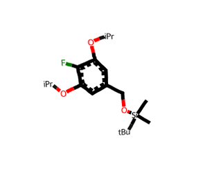 CC(C)Oc1cc(CO[Si](C)(C)C(C)(C)C)cc(OC(C)C)c1F